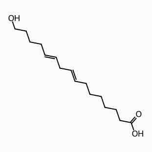 O=C(O)CCCCCC/C=C/C/C=C/CCCCO